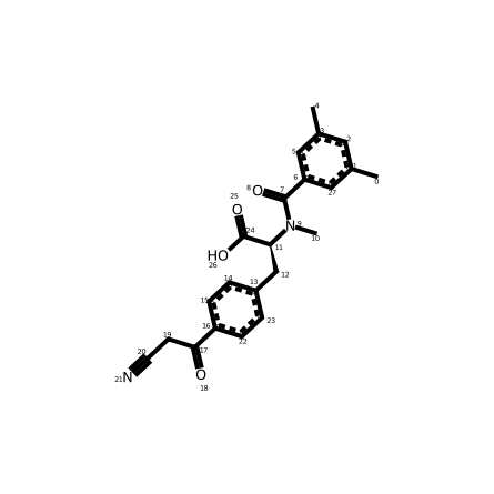 Cc1cc(C)cc(C(=O)N(C)[C@@H](Cc2ccc(C(=O)CC#N)cc2)C(=O)O)c1